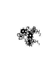 [2H]C([2H])([2H])C([2H])([2H])Oc1cc([C@@H](CS(C)(=O)=O)N2C(=O)c3cccc(NC(C)=O)c3C2=O)ccc1OC